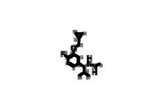 CNN[C@@H](c1ccc(F)c(OCC2CC2)c1)C(C)C